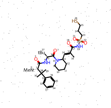 CN[C@H](C(=O)N[C@H](C(=O)N1CCCCC1/C=C(\C)C(=O)NS(=O)(=O)CCCS)C(C)(C)C)C(C)(C)c1ccccc1